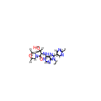 CCn1c(-c2cnc(C)nc2)nc2c(NC(C(=O)N3CC(C)OC(C)C3)C(C)(C)O)ncnc21